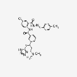 Cc1ccc(C=NNC(=O)c2cc(Cl)ccc2NC(=O)c2cccc(C(CCN(C)C)Sc3nnn[nH]3)c2)cc1